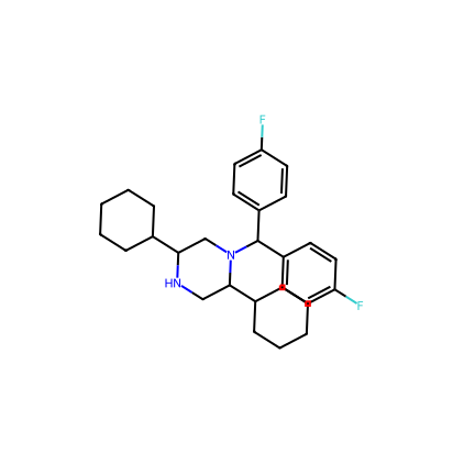 Fc1ccc(C(c2ccc(F)cc2)N2CC(C3CCCCC3)NCC2C2CCCCC2)cc1